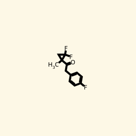 CC1(C(=O)Cc2ccc(F)cc2)CC1(F)F